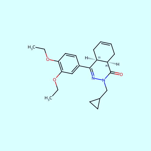 CCOc1ccc(C2=NN(CC3CC3)C(=O)[C@@H]3CC=CC[C@H]23)cc1OCC